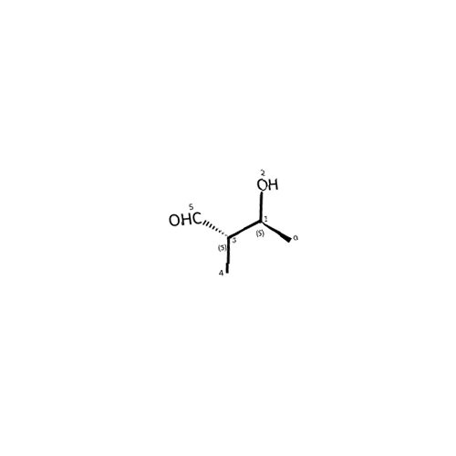 C[C@H](O)[C@H](C)C=O